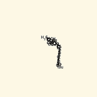 Cc1cc(C)c(C2=C(OBr)[C@]3(CC[C@H](OC4CCN(CCOCCOCCOCC(=O)OC(C)(C)C)CC4)CC3)OC2=O)c(C)c1